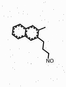 Cc1cc2ccccc2cc1CCCN=O